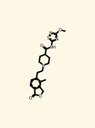 COc1nsc(NC(=O)C2CCN(CCc3ccc4c(c3C)COC4=O)CC2)n1